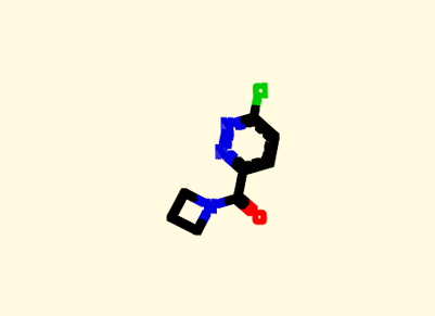 O=C(c1ccc(Cl)nn1)N1CCC1